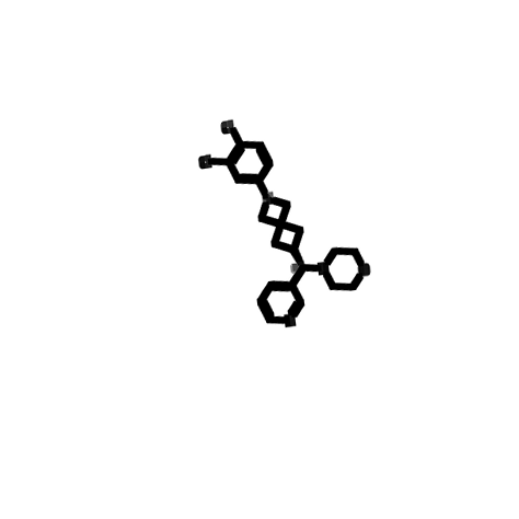 Clc1ccc(N2CC3(CC([C@H](c4cccnc4)N4CCOCC4)C3)C2)cc1Cl